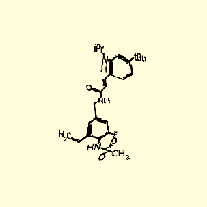 C=Cc1cc(CNC(=O)/C=C/c2ccc(C(C)(C)C)cc2NC(C)C)cc(F)c1NS(C)(=O)=O